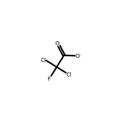 [O]C(=O)C(F)(Cl)Cl